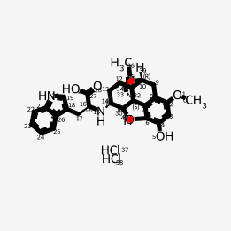 COc1cc(O)c2c3c1C[C@@H]1[C@@H]4CC[C@@H](N[C@@H](Cc5c[nH]c6ccccc56)C(=O)O)[C@H](O2)[C@]34CCN1C.Cl.Cl